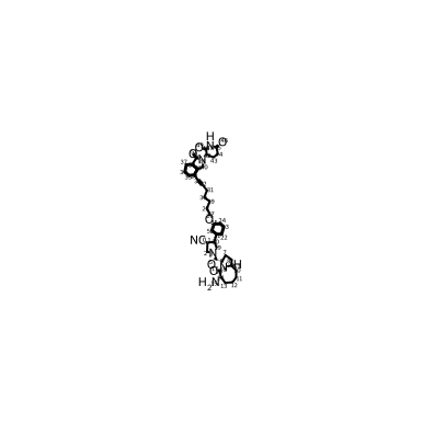 N#CC1CN(C(=O)[C@@H]2CC[C@@H]3CCCC[C@H](N)C(=O)N32)CC1c1cccc(OCCCCCC#Cc2cccc3c2CN(C2CCC(=O)NC2=O)C3=O)c1